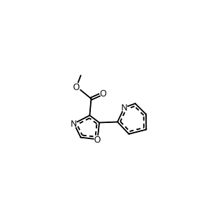 COC(=O)c1ncoc1-c1ccccn1